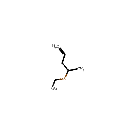 C=CCC(C)SCC(C)(C)C